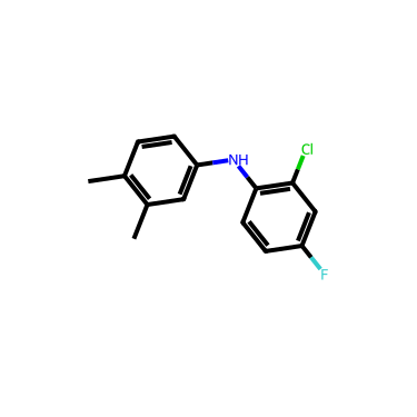 Cc1ccc(Nc2ccc(F)cc2Cl)cc1C